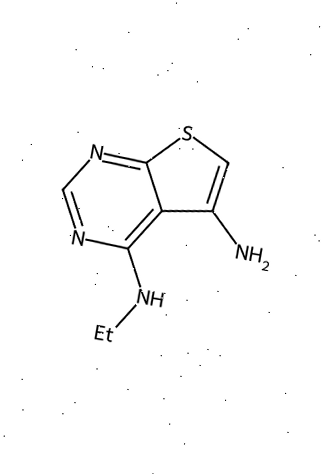 CCNc1ncnc2scc(N)c12